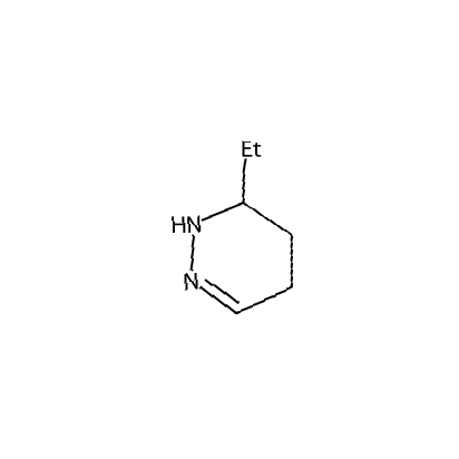 CCC1CCC=NN1